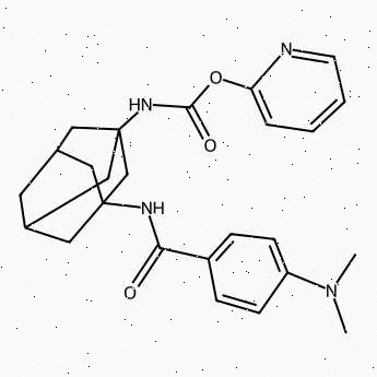 CN(C)c1ccc(C(=O)NC23CC4CC(CC(NC(=O)Oc5ccccn5)(C4)C2)C3)cc1